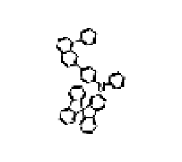 c1ccc(-c2cccc3ccc(-c4ccc(N(c5ccccc5)c5ccc6c(c5)C5(c7ccccc7-c7ccccc75)c5ccccc5-6)cc4)cc23)cc1